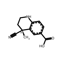 C[C@@]1(C#N)CCNc2ccc(C(=O)O)cc21